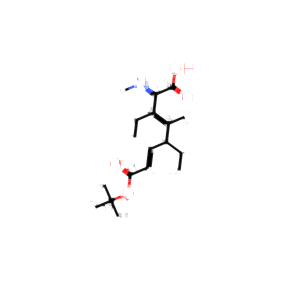 CCC(/C(=N\C)C(=O)O)=C(/C)C(/C=C/C(=O)OC(C)(C)C)CC